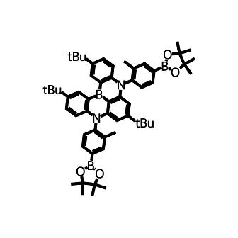 Cc1cc(B2OC(C)(C)C(C)(C)O2)ccc1N1c2ccc(C(C)(C)C)cc2B2c3cc(C(C)(C)C)ccc3N(c3ccc(B4OC(C)(C)C(C)(C)O4)cc3C)c3cc(C(C)(C)C)cc1c32